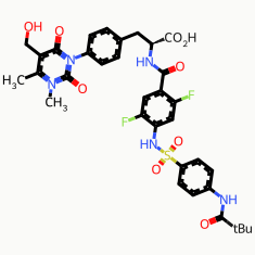 Cc1c(CO)c(=O)n(-c2ccc(C[C@H](NC(=O)c3cc(F)c(NS(=O)(=O)c4ccc(NC(=O)C(C)(C)C)cc4)cc3F)C(=O)O)cc2)c(=O)n1C